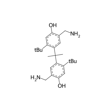 CC(C)(C)c1cc(O)c(CN)cc1C(C)(C)c1cc(CN)c(O)cc1C(C)(C)C